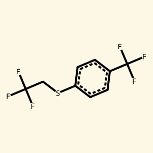 FC(F)(F)CSc1ccc(C(F)(F)F)cc1